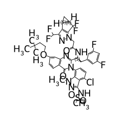 Cn1nc(NS(C)(=O)=O)c2c(Cl)ccc(-n3c([C@H](Cc4cc(F)cc(F)c4)NC(=O)Cn4nc(C(F)F)c5c4C(F)(F)[C@@H]4C[C@H]54)nc4cc(OCCC(C)(C)C)ccc4c3=O)c21